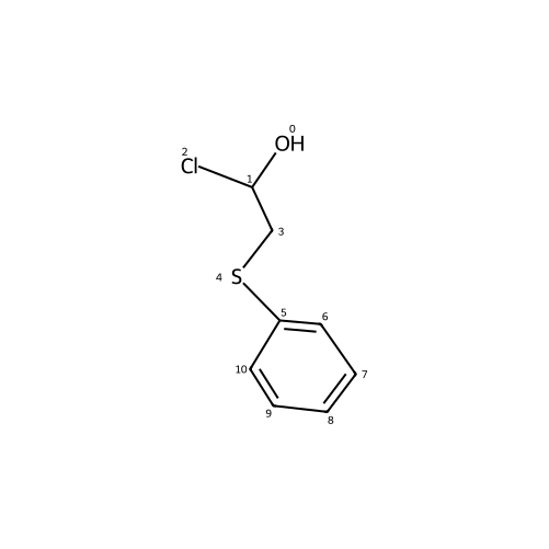 OC(Cl)CSc1ccccc1